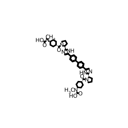 CN(C(=O)O)[C@H]1CC[C@H](C(=O)N2CCC[C@H]2c2ncc(-c3ccc(-c4ccc(-c5cnc([C@@H]6CCCN6C(=O)[C@H]6CC[C@H](N(C)C(=O)O)CC6)[nH]5)cc4)cc3)[nH]2)CC1